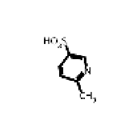 Cc1ccc(S(=O)(=O)O)cn1